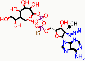 C#C[C@@]1(N=[N+]=[N-])[C@H](O)[C@@H](COP(=O)(S)OP(=O)(O)OC2OCC([C@@H](O)CO)C(O)C(O)C2O)O[C@H]1n1cnc2c(N)ncnc21